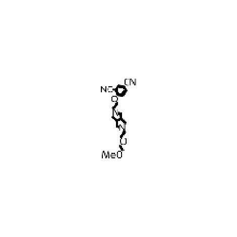 COCCOCCN1CC2CN(CCOc3ccc(C#N)cc3C#N)CC2C1